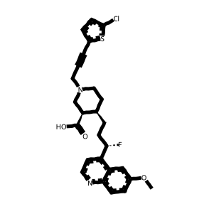 COc1ccc2nccc([C@@H](F)CC[C@@H]3CCN(CC#Cc4ccc(Cl)s4)C[C@@H]3C(=O)O)c2c1